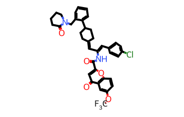 O=C(N/C(C=C1CCC(c2ccccc2CN2CCCCC2=O)CC1)=C\c1ccc(Cl)cc1)c1cc(=O)c2cc(OC(F)(F)F)ccc2o1